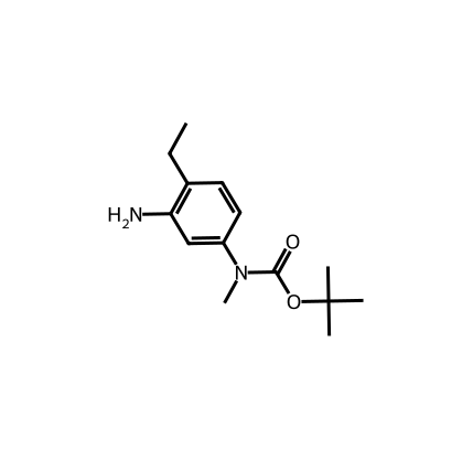 CCc1ccc(N(C)C(=O)OC(C)(C)C)cc1N